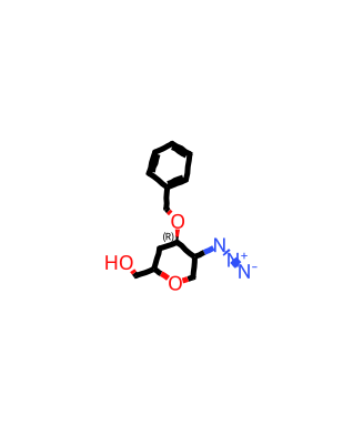 [N-]=[N+]=NC1COC(CO)C[C@H]1OCc1ccccc1